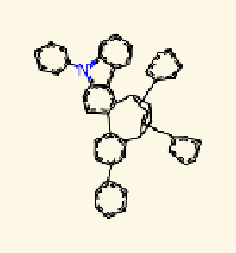 C1=C(c2ccccc2)C2CCC(=C1c1ccccc1)c1c(ccc3c1c1ccccc1n3-c1ccccc1)-c1ccc(-c3ccccc3)cc12